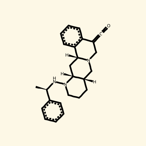 C[C@@H](NN1CCC[C@H]2CN3CC(=C=O)c4ccccc4[C@H]3C[C@H]21)c1ccccc1